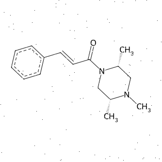 C[C@@H]1CN(C(=O)C=Cc2ccccc2)[C@H](C)CN1C